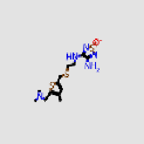 Cc1cc(CSCCNc2n[s+]([O-])nc2N)sc1CN(C)C